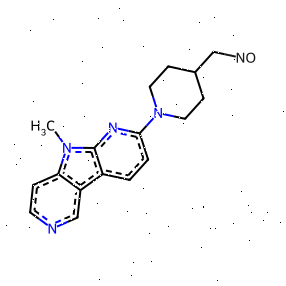 Cn1c2ccncc2c2ccc(N3CCC(CN=O)CC3)nc21